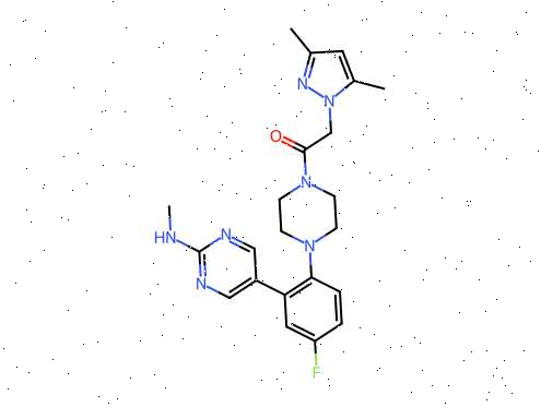 CNc1ncc(-c2cc(F)ccc2N2CCN(C(=O)Cn3nc(C)cc3C)CC2)cn1